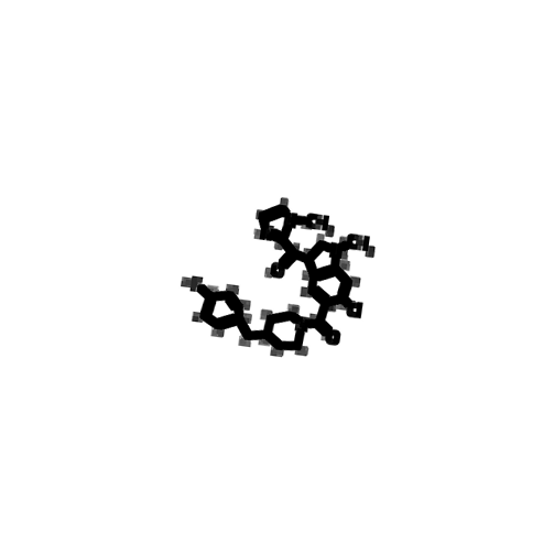 CN1CC(C(=O)c2nccn2C)c2cc(C(=O)N3CCC(Cc4ccc(F)cc4)CC3)c(Cl)cc21